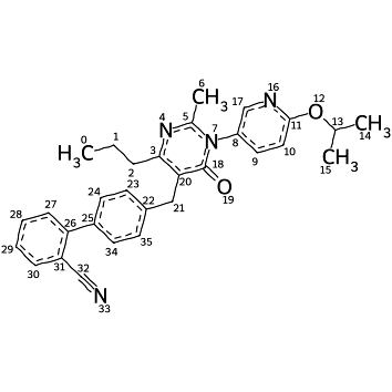 CCCc1nc(C)n(-c2ccc(OC(C)C)nc2)c(=O)c1Cc1ccc(-c2ccccc2C#N)cc1